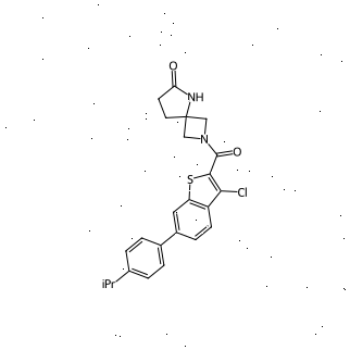 CC(C)c1ccc(-c2ccc3c(Cl)c(C(=O)N4CC5(CCC(=O)N5)C4)sc3c2)cc1